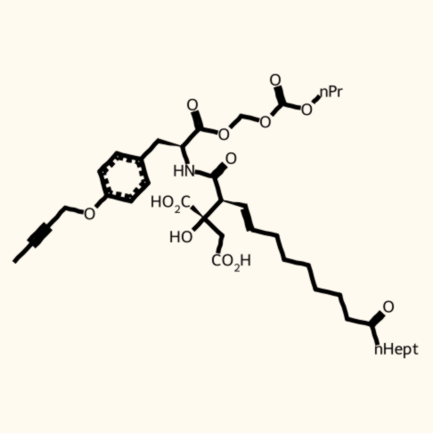 CC#CCOc1ccc(C[C@H](NC(=O)[C@@H](C=CCCCCCCC(=O)CCCCCCC)[C@@](O)(CC(=O)O)C(=O)O)C(=O)OCOC(=O)OCCC)cc1